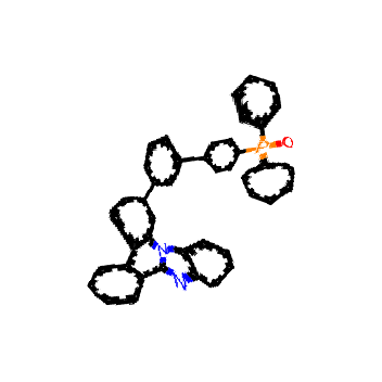 O=P(c1ccccc1)(c1ccccc1)c1ccc(-c2cccc(-c3ccc4c5ccccc5c5nc6ccccc6n5c4c3)c2)cc1